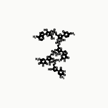 Cc1cn([C@@H]2O[C@H](COP(=O)(O)OC3[C@@H](COP(=O)(O)OC4[C@@H](COP(=O)(O)OC5[C@@H](CO)O[C@@H](n6cnc7c(N)ncnc76)[C@H]5O)O[C@@H](n5ccc(N)nc5=O)[C@H]4O)O[C@@H](n4cnc5c(=O)[nH]c(N)nc54)[C@H]3O)C(OP(=O)(O)OC[C@H]3O[C@@H](n4cc(C)c(=O)[nH]c4=O)C[C@H]3O)[C@@H]2O)c(=O)[nH]c1=O